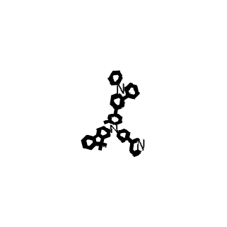 CC1CC(c2ccc3c(c2)c2ccccc2n3-c2ccccc2)=CCC1N(c1ccc(-c2cccnc2)cc1)c1ccc2c(c1)C(C)(C)c1ccccc1-2